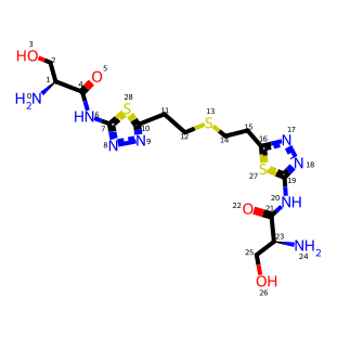 N[C@@H](CO)C(=O)Nc1nnc(CCSCCc2nnc(NC(=O)[C@@H](N)CO)s2)s1